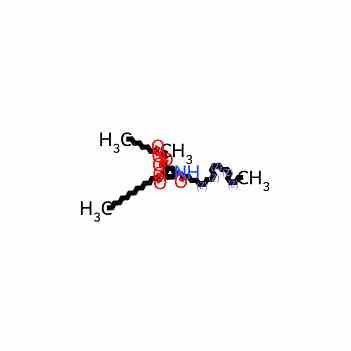 CC/C=C\C/C=C\C/C=C\C/C=C\C/C=C\CCCC(=O)Nc1ccc(OC(=O)CCCCCCCCCCCCC)c(C(=O)OC(C)OC(=O)CCCCCCC)c1